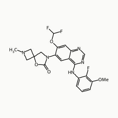 COc1cccc(Nc2ncnc3cc(OC(F)F)c(N4CC5(CN(C)C5)OC4=O)cc23)c1F